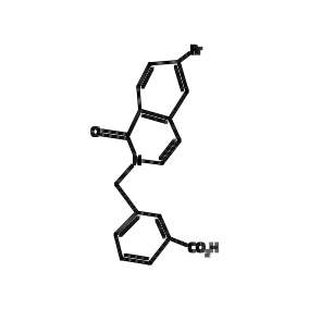 O=C(O)c1cccc(Cn2ccc3cc(Br)ccc3c2=O)c1